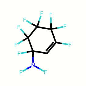 FC1=CC(F)(N(F)F)C(F)(F)C(F)(F)C1(F)F